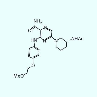 COCCOc1ccc(Nc2nc(N3CCC[C@@H](NC(C)=O)C3)cnc2C(N)=O)cc1